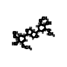 COC1=CC(C2OCC3C(c4cc(OC)c(O)c(OC)c4)OCC32)CC(OC)=C1O